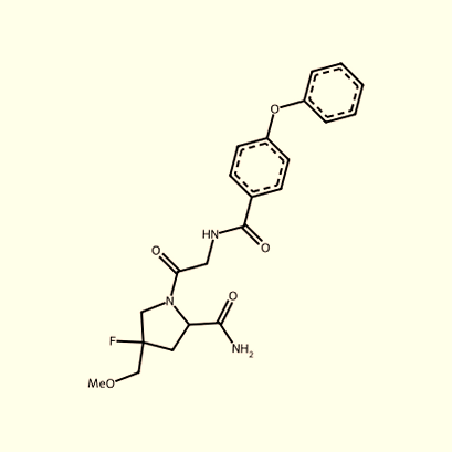 COCC1(F)CC(C(N)=O)N(C(=O)CNC(=O)c2ccc(Oc3ccccc3)cc2)C1